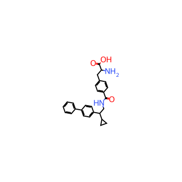 NC(Cc1ccc(C(=O)NCC(c2ccc(-c3ccccc3)cc2)C2CC2)cc1)C(=O)O